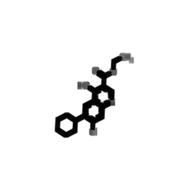 CCOC(=O)c1cnc2cc(Cl)c(C3CCCCC3)cc2c1O